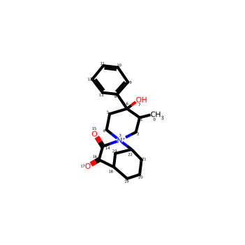 CC1C[N+]2(CCC1(O)c1ccccc1)C(=O)C(=O)C1CCCC2C1